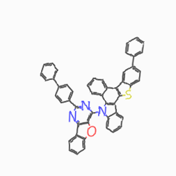 c1ccc(-c2ccc(-c3nc(-n4c5ccccc5c5c6sc7ccc(-c8ccccc8)cc7c6c6ccccc6c54)c4oc5ccccc5c4n3)cc2)cc1